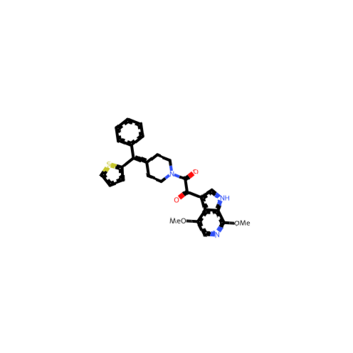 COc1ncc(OC)c2c(C(=O)C(=O)N3CCC(=C(c4ccccc4)c4cccs4)CC3)c[nH]c12